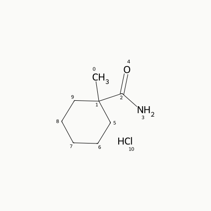 CC1(C(N)=O)CCCCC1.Cl